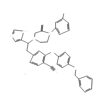 Cl.Cl.N#Cc1ccc(CC(c2cnc[nH]2)N2CCN(c3cccc(Cl)c3)C(=O)C2)cc1Oc1ccc(OCc2ccccc2)cc1